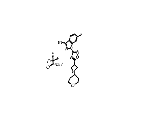 CCc1nn(-c2noc(C3CN(C4CCOCC4)C3)n2)c2cc(F)ccc12.O=C(O)C(F)(F)F